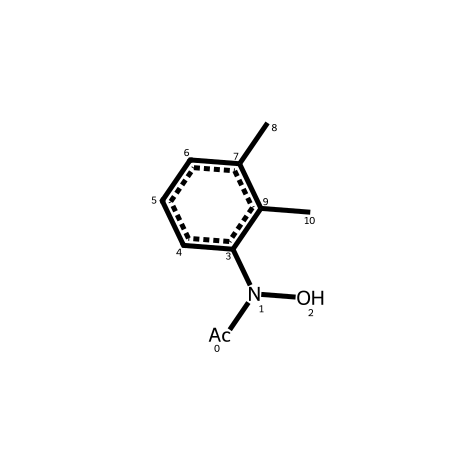 CC(=O)N(O)c1cccc(C)c1C